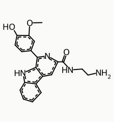 COc1cc(-c2nc(C(=O)NCCN)cc3c2[nH]c2ccccc23)ccc1O